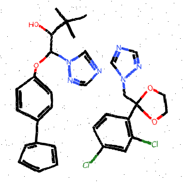 CC(C)(C)C(O)C(Oc1ccc(-c2ccccc2)cc1)n1cncn1.Clc1ccc(C2(Cn3cncn3)OCCO2)c(Cl)c1